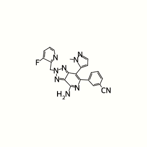 Cn1nccc1-c1c(-c2cccc(C#N)c2)nc(N)c2nn(Cc3ncccc3F)nc12